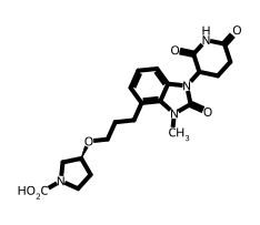 Cn1c(=O)n(C2CCC(=O)NC2=O)c2cccc(CCCO[C@H]3CCN(C(=O)O)C3)c21